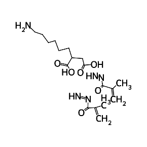 C=C(C)C(=O)N=N.C=C(C)C(=O)N=N.NCCCCCCC(CC(=O)O)C(=O)O